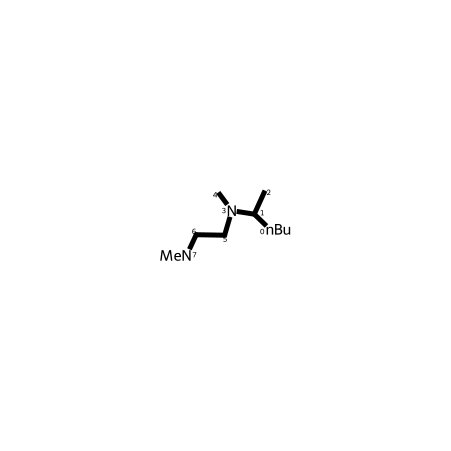 CCCCC(C)N(C)CCNC